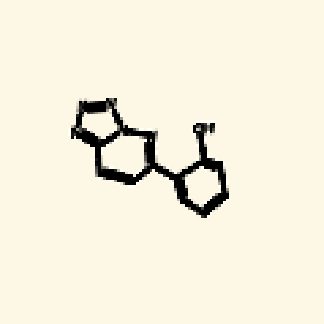 Oc1ccccc1-c1ccc2nnnn2n1